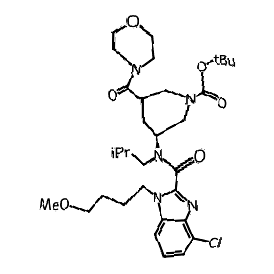 COCCCCn1c(C(=O)N(CC(C)C)[C@H]2CC(C(=O)N3CCOCC3)CN(C(=O)OC(C)(C)C)C2)nc2c(Cl)cccc21